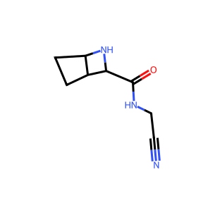 N#CCNC(=O)C1NC2CCC21